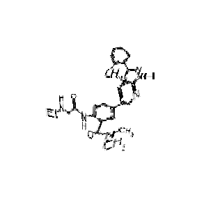 CCNCC(=O)Nc1ccc(-c2cnc3[nH]nc(-c4ccccc4C)c3c2)cc1C(=O)N(C)C